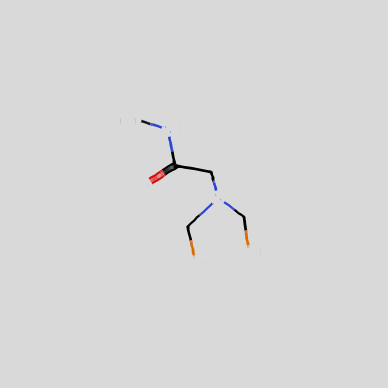 CCCNC(=O)CN(CP)CP